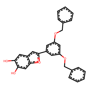 Oc1cc2cc(-c3cc(OCc4ccccc4)cc(OCc4ccccc4)c3)oc2cc1O